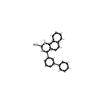 CC(C)(C)c1nc(-c2cccc(-c3ccccc3)c2)c2ccc3ccccc3c2n1